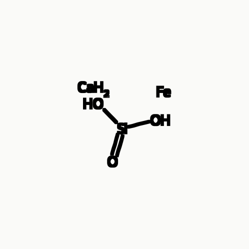 O=[Si](O)O.[CaH2].[Fe]